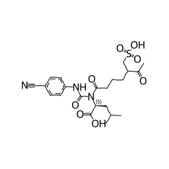 CC(=O)C(CCCC(=O)N(C(=O)Nc1ccc(C#N)cc1)[C@@H](CC(C)C)C(=O)O)CS(=O)(=O)O